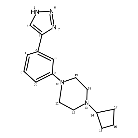 c1cc(-c2c[nH]nn2)cc(N2CCN(C3CCC3)CC2)c1